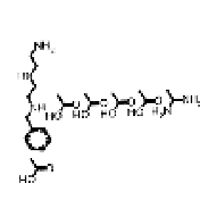 CC(=O)O.CC(=O)O.CC(=O)O.CC(=O)O.CC(=O)O.CC(N)N.NCCNCCNCc1ccccc1